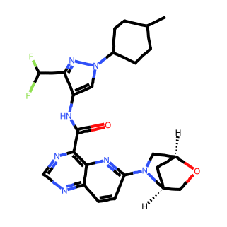 CC1CCC(n2cc(NC(=O)c3ncnc4ccc(N5C[C@@H]6C[C@H]5CO6)nc34)c(C(F)F)n2)CC1